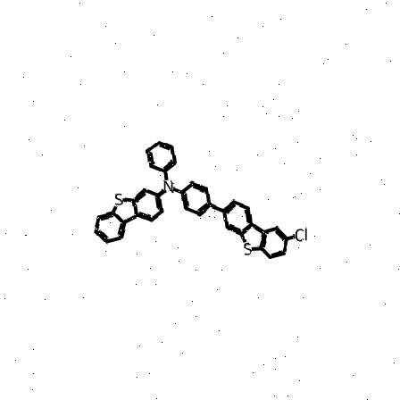 Clc1ccc2sc3cc(-c4ccc(N(c5ccccc5)c5ccc6c(c5)sc5ccccc56)cc4)ccc3c2c1